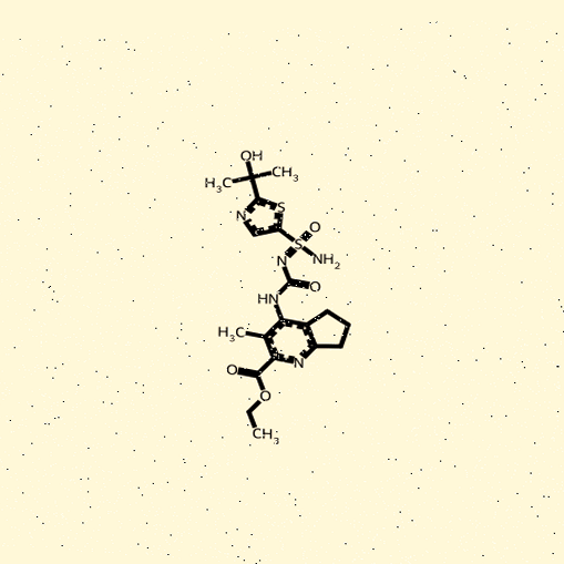 CCOC(=O)c1nc2c(c(NC(=O)N=S(N)(=O)c3cnc(C(C)(C)O)s3)c1C)CCC2